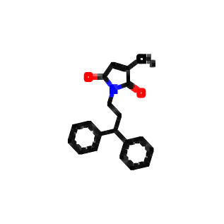 CC1=CC(=O)N(CCC(c2ccccc2)c2ccccc2)C1=O